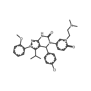 COc1ccccc1-n1nc2c(c1C(C)C)C(c1ccc(Cl)cc1)N(c1ccc(=O)n(CCN(C)C)c1)C(=O)N2